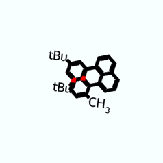 Cc1ccccc1-c1cccc2cccc(-c3cc(C(C)(C)C)cc(C(C)(C)C)c3)c12